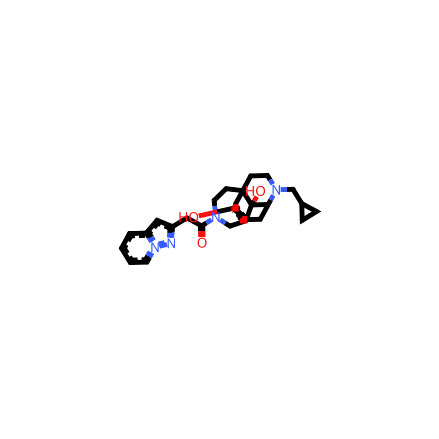 O=C(Cc1cc2ccccn2n1)N1CCC23CCN(CC4CC4)C(Cc4ccc(O)cc42)C3(O)CC1